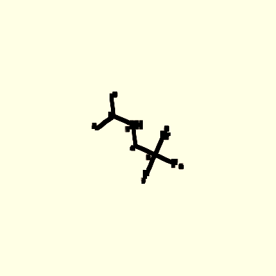 CC(C)NCC(F)(F)Br